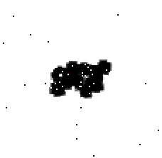 C=C1/C=C\C=C/CN(c2ccccc2)c2ccc3c4cc(-c5cccc6c5oc5c(-c7nc(-c8ccccc8)nc(-c8ccccc8)n7)cccc56)ccc4n(-c4ccccc4)c3c21